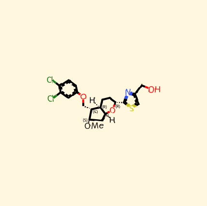 CO[C@H]1C[C@@H]2O[C@@H](c3nc(CO)cs3)CC[C@@H]2[C@H]1COc1ccc(Cl)c(Cl)c1